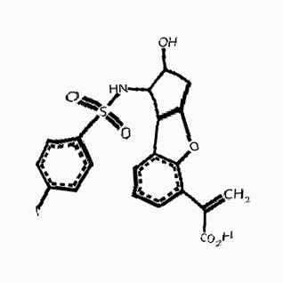 C=C(C(=O)O)c1cccc2c1OC1CC(O)C(NS(=O)(=O)c3ccc(I)cc3)C21